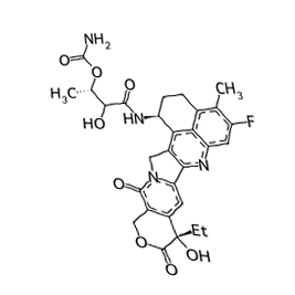 CC[C@@]1(O)C(=O)OCc2c1cc1n(c2=O)Cc2c-1nc1cc(F)c(C)c3c1c2[C@@H](NC(=O)C(O)[C@H](C)OC(N)=O)CC3